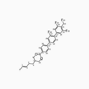 C/C=C/CCC1COC(c2ccc(-c3ccc(-c4cc(F)c(CF)c(F)c4)c(F)c3)cc2)OC1